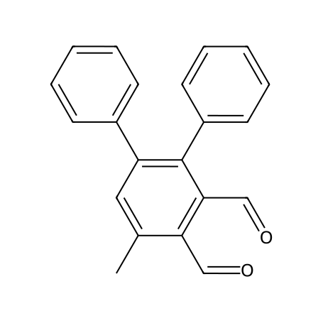 Cc1cc(-c2ccccc2)c(-c2ccccc2)c(C=O)c1C=O